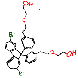 OCCOCCc1cccc(C2(c3cccc(CCOCCO)c3)c3cc(Br)ccc3-c3ccc(Br)cc32)c1